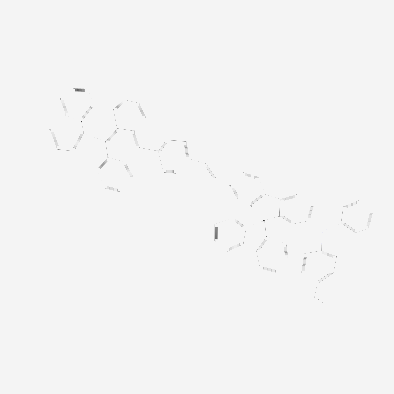 CC(C)(C)c1ccc(-c2c3ccccc3c(-c3ccc(/C=C/c4ccc5c(c4)C(c4ccccc4)(c4ccccc4)c4cc(N(c6ccccc6)c6ccc(C#N)cc6)ccc4-5)cc3)c3ccccc23)c2ccccc12